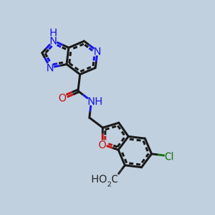 O=C(NCc1cc2cc(Cl)cc(C(=O)O)c2o1)c1cncc2[nH]cnc12